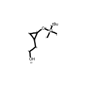 CC(C)(C)[Si](C)(C)OC1CC1CCO